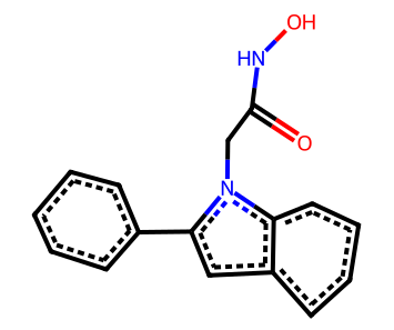 O=C(Cn1c(-c2ccccc2)cc2ccccc21)NO